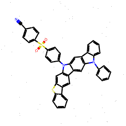 N#Cc1ccc(S(=O)(=O)c2ccc(-n3c4cc5sc6ccccc6c5cc4c4cc5c(cc43)c3ccccc3n5-c3ccccc3)cc2)cc1